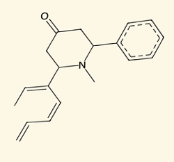 C=C/C=C\C(=C/C)C1CC(=O)CC(c2ccccc2)N1C